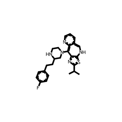 CC(C)c1nc2c(s1)NC=c1cccnc1=C2N1CCNC(CCc2ccc(F)cc2)C1